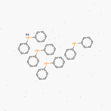 [Pd].c1ccc(Pc2ccccc2)cc1.c1ccc(Pc2ccccc2)cc1.c1ccc(Pc2ccccc2)cc1.c1ccc(Pc2ccccc2)cc1